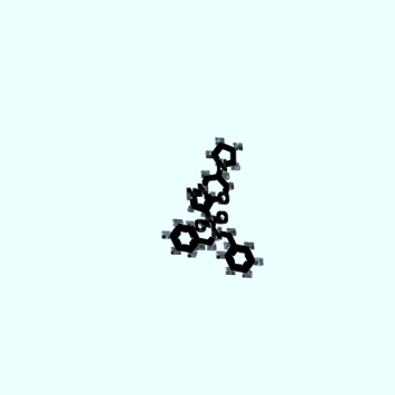 O=S(=O)(c1cnn2c1OCC(N1CCCC1)C2)N(Cc1ccccc1)Cc1ccccc1